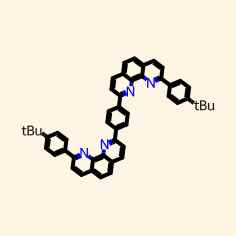 CC(C)(C)c1ccc(-c2ccc3ccc4ccc(-c5ccc(-c6ccc7ccc8ccc(-c9ccc(C(C)(C)C)cc9)nc8c7n6)cc5)nc4c3n2)cc1